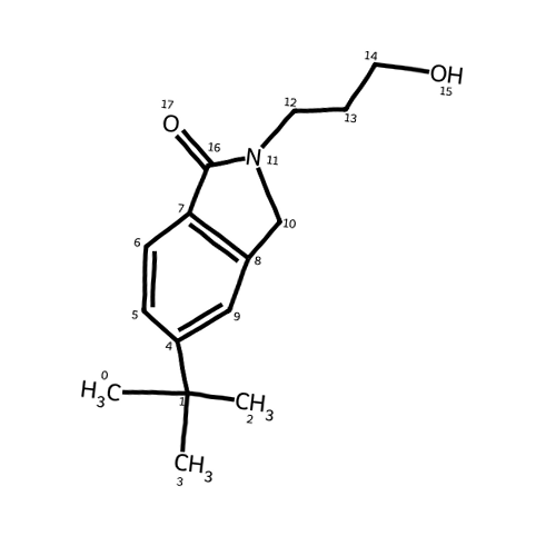 CC(C)(C)c1ccc2c(c1)CN(CCCO)C2=O